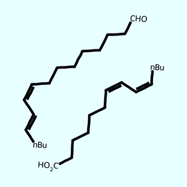 CCCC/C=C/C=C\CCCCCCCC=O.CCCC/C=C\C=C/CCCCCC(=O)O